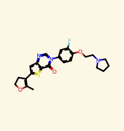 CC1=C(c2cc3ncn(-c4ccc(OCCN5CCCC5)c(F)c4)c(=O)c3s2)CCO1